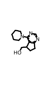 OCC1CCc2ncnc(N3CCCCC3)c21